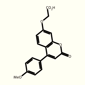 COc1ccc(-c2cc(=O)oc3cc(OCC(=O)O)ccc23)cc1